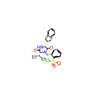 CCC(CC)[C@@H]1C(=O)N[C@H](C2Cc3ccccc3C2)C(=O)N1Cc1ccccc1S(=O)(=O)Cl